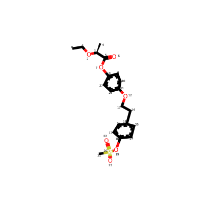 CCO[C@@H](C)C(=O)Oc1ccc(OCCc2ccc(OS(C)(=O)=O)cc2)cc1